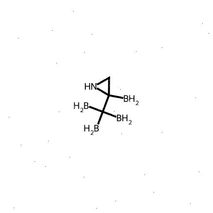 BC(B)(B)C1(B)CN1